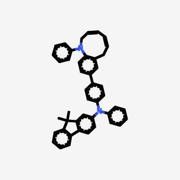 CC1(C)c2ccccc2-c2ccc(N(c3ccccc3)c3ccc(-c4ccc5c(c4)C/C=C\C=C/CN5c4ccccc4)cc3)cc21